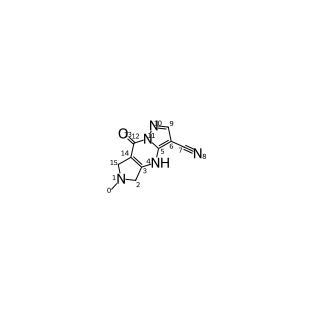 CN1Cc2[nH]c3c(C#N)cnn3c(=O)c2C1